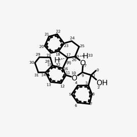 CC(O)(c1ccccc1)C1Oc2ccc3c(c2[C@H]2c4ccccc4CC[C@H]2O1)CCCC3